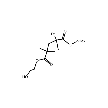 CCCCCCOC(=O)C(C)(CC)CC(C)(C)C(=O)OCCO